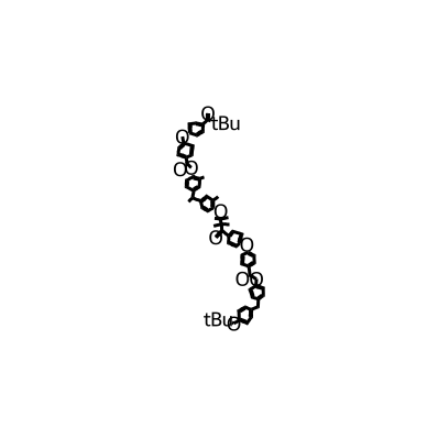 Cc1cc(C(C)c2ccc(OC(C)(C)C(C)(C)C(=O)c3ccc(Oc4ccc(C(=O)Oc5ccc(Cc6ccc(OC(C)(C)C)cc6)cc5)cc4)cc3)c(C)c2)ccc1OC(=O)c1ccc(Oc2ccc(C(=O)C(C)(C)C)cc2)cc1